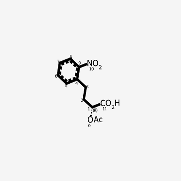 CC(=O)O[C@H](CCc1ccccc1[N+](=O)[O-])C(=O)O